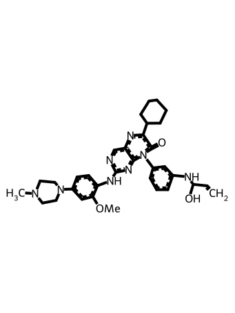 C=CC(O)Nc1cccc(-n2c(=O)c(C3CCCCC3)nc3cnc(Nc4ccc(N5CCN(C)CC5)cc4OC)nc32)c1